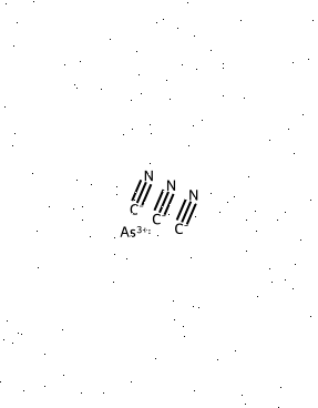 [As+3].[C-]#N.[C-]#N.[C-]#N